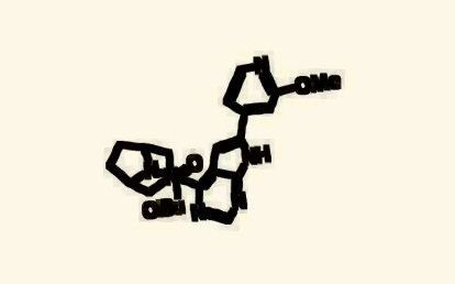 COc1cc(-c2cc3c(N4CC5CCC(C4)N5C(=O)OCC(C)C)ncnc3[nH]2)ccn1